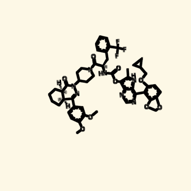 COc1ccc(C2=NN(C3CCN(C(=O)[C@@H](Cc4ccccc4C(F)(F)F)NC(=O)Oc4c(C)[nH]c5c(-c6c(OCC7CC7)ccc7c6OCO7)ncnc45)CC3)C(=O)[C@@H]3CCCC[C@H]23)cc1OC